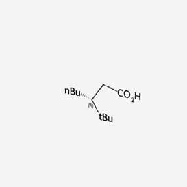 CCCC[C@H](CC(=O)O)C(C)(C)C